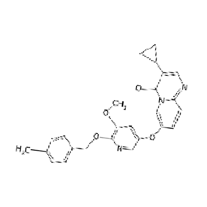 COc1cc(Oc2ccc3ncc(C4CC4)c(=O)n3c2)cnc1OCc1ccc(C)cc1